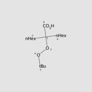 CCCCCCC(CCCCCC)(OOC(C)(C)C)C(=O)O